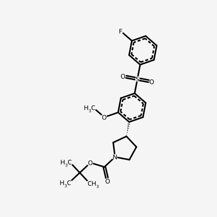 COc1cc(S(=O)(=O)c2cccc(F)c2)ccc1[C@@H]1CCN(C(=O)OC(C)(C)C)C1